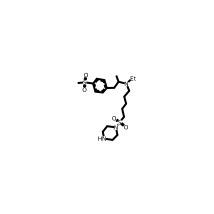 CCN(CCCCCS(=O)(=O)N1CCNCC1)C(C)Cc1ccc(S(C)(=O)=O)cc1